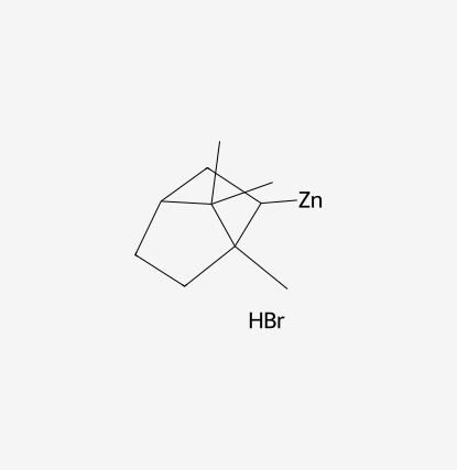 Br.CC1(C)C2CCC1(C)[CH]([Zn])C2